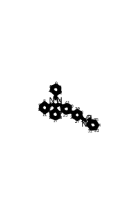 c1ccc(-c2nc(-c3ccccc3)c(-c3ccccc3)c(-c3ccc(-c4ccc(-c5nc6ccccc6o5)cc4)cc3)n2)cc1